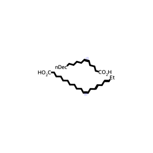 CCC=CCC=CC/C=C\CCCCCCCCCC(=O)O.CCCCCCCCCCCCCC/C=C\CCCC(=O)O